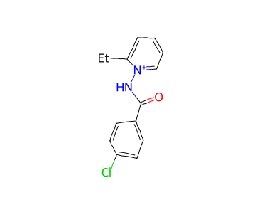 CCc1cccc[n+]1NC(=O)c1ccc(Cl)cc1